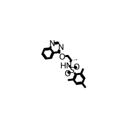 Cc1cc(C)c(S(=O)(=O)N[C@@H](C)COc2ncnc3ccccc23)c(C)c1